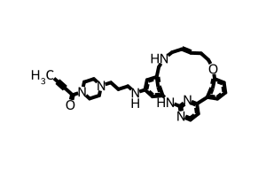 CC#CC(=O)N1CCN(CCCNc2cc3cc(c2)Nc2nccc(n2)-c2cccc(c2)OCC/C=C/CNC3)CC1